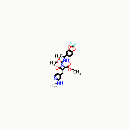 CCOC(=O)C1[C@@H](Cc2ccnc(NC)c2)C(=O)N1C(NC(C)c1ccc2c(c1)OC(F)(F)O2)OC